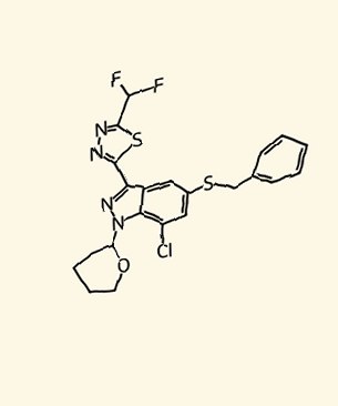 FC(F)c1nnc(-c2nn(C3CCCCO3)c3c(Cl)cc(SCc4ccccc4)cc23)s1